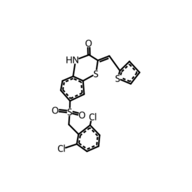 O=C1Nc2ccc(S(=O)(=O)Cc3c(Cl)cccc3Cl)cc2SC1=Cc1cccs1